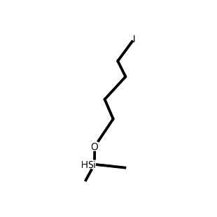 C[SiH](C)OCCCCI